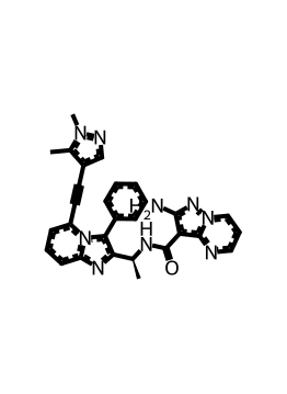 Cc1c(C#Cc2cccc3nc([C@H](C)NC(=O)c4c(N)nn5cccnc45)c(-c4ccccc4)n23)cnn1C